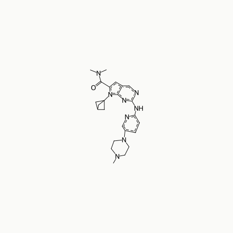 CN1CCN(c2ccc(Nc3ncc4cc(C(=O)N(C)C)n(C56CC(C5)C6)c4n3)nc2)CC1